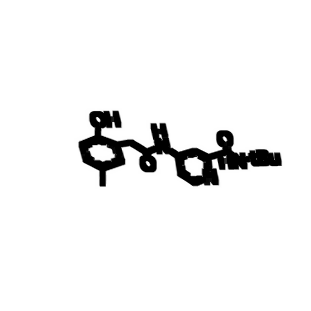 Cc1ccc(O)c(CC(=O)Nc2ccnc(C(=O)NC(C)(C)C)c2)c1